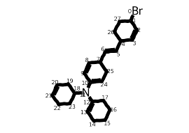 BrC1C=CC(/C=C/C2C=CC(N(C3=CCCCC3)C3CC=CCC3)=CC2)CC1